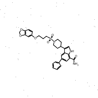 NC(=O)c1cc(-c2ccccc2)cc2c(C3CCN(S(=O)(=O)CCCOc4ccc5c(c4)OCO5)CC3)c[nH]c12